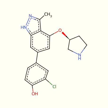 Cc1n[nH]c2cc(-c3ccc(O)c(Cl)c3)cc(O[C@H]3CCNC3)c12